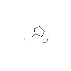 CCO.NC1CCCC1